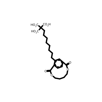 O=C1OCCCCOC(=O)c2ccc1cc2CCCCCCCCC(C(=O)O)(C(=O)O)C(=O)O